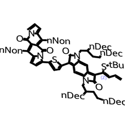 C=C/C=C(\SC(C)(C)C)C1=c2cc3c(cc2N(CC(CCCCCCCCCC)CCCCCCCCCCCC)C1=O)=C(c1ccc(-c2ccc4c(CCCCCCCCC)c5c(=O)n6cccc6c(CCCCCCCCC)c5c(=O)n24)s1)C(=O)N3CC(CCCCCCCCCC)CCCCCCCCCCCC